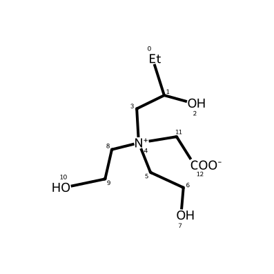 CCC(O)C[N+](CCO)(CCO)CC(=O)[O-]